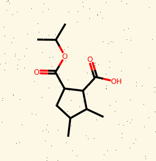 CC(C)OC(=O)C1CC(C)C(C)C1C(=O)O